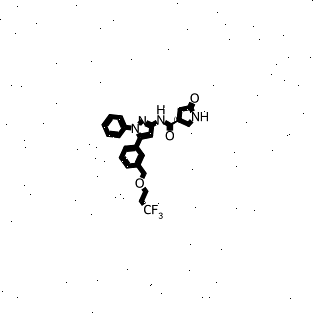 O=C1C[C@H](C(=O)Nc2cc(-c3cccc(COCCC(F)(F)F)c3)n(-c3ccccc3)n2)CN1